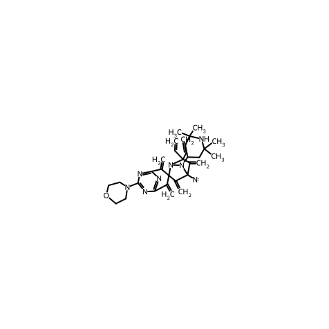 C=CC1(C=C)C(=C)C2([N])C(=C)C3(C(=C)c4nc(nc(N5CCOCC5)n4)C3=C)N1N2C1CC(C)(C)NC(C)(C)C1